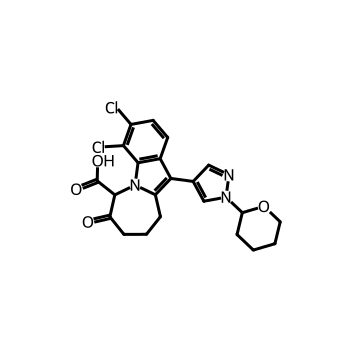 O=C(O)C1C(=O)CCCc2c(-c3cnn(C4CCCCO4)c3)c3ccc(Cl)c(Cl)c3n21